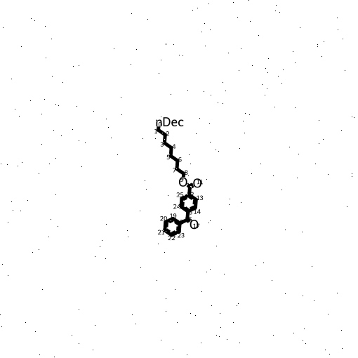 CCCCCCCCCCCCCCCCCCOC(=O)c1ccc(C(=O)c2ccccc2)cc1